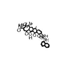 C[C@H]1C2=C(C(=O)C3=C(O)C4C(=O)CC(C(N)=O)=C(O)[C@@H](N(C)C)C4CC31)C(O)C(NC(=O)Nc1cccc3ccccc13)C=C2